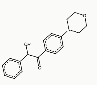 O=C(c1ccc(N2CCOCC2)cc1)C(O)c1ccccc1